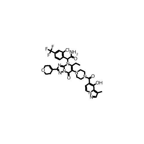 CCc1c(N2CCN(C(=O)c3ccn4ncc(C)c4c3O)CC2)c(=O)n2nc(C3=CCOCC3)nc2n1C(C(N)=O)c1ccc(C(F)(F)F)cc1Cl